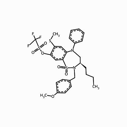 CCCC[C@@H]1CN(c2ccccc2)c2cc(SC)c(OS(=O)(=O)C(F)(F)F)cc2S(=O)(=O)N1Cc1ccc(OC)cc1